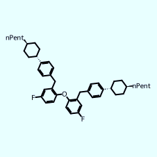 CCCCC[C@H]1CC[C@H](c2ccc(Cc3cc(F)ccc3Oc3ccc(F)cc3Cc3ccc([C@H]4CC[C@H](CCCCC)CC4)cc3)cc2)CC1